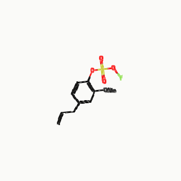 C=CCc1ccc(OS(=O)(=O)OF)c(OC)c1